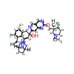 C#Cc1c(F)cc(F)c2c1C(N1C[C@H]3CC[C@@H](C1)N3)=CC(O)(c1cc3nc(OC[C@]4(C)CN(C)CC[C@@H]4F)ncc3cn1)C2